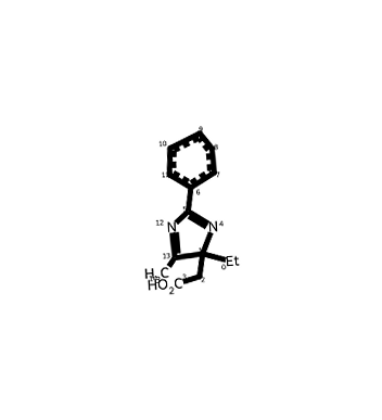 CCC1(CC(=O)O)N=C(c2ccccc2)N=C1C